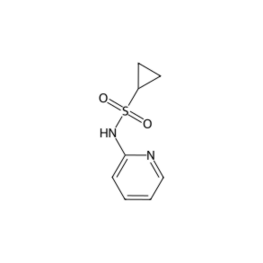 O=S(=O)(Nc1ccccn1)C1CC1